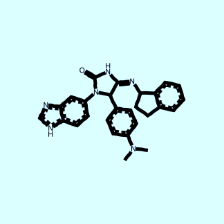 CN(C)c1ccc(C2/C(=N\C3CCc4ccccc43)NC(=O)N2c2ccc3[nH]cnc3c2)cc1